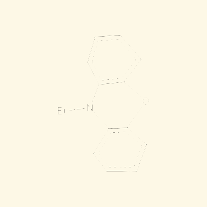 CCN1c2ccccc2Oc2ccccc21